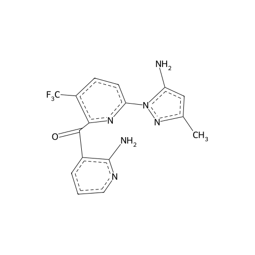 Cc1cc(N)n(-c2ccc(C(F)(F)F)c(C(=O)c3cccnc3N)n2)n1